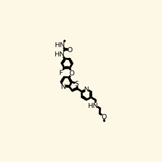 CNC(=O)Nc1ccc(Oc2ccnc3cc(-c4ccc(CNCCOC)cn4)sc23)c(F)c1